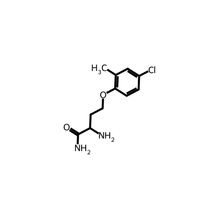 Cc1cc(Cl)ccc1OCCC(N)C(N)=O